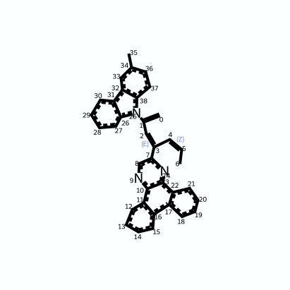 C=C(/C=C(\C=C/C)c1cnc2c3ccccc3c3ccccc3c2n1)n1c2ccccc2c2cc(C)ccc21